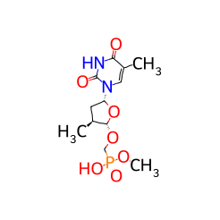 COP(=O)(O)CO[C@H]1O[C@@H](n2cc(C)c(=O)[nH]c2=O)C[C@@H]1C